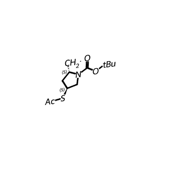 [CH2][C@H]1C[C@H](SC(C)=O)CN1C(=O)OC(C)(C)C